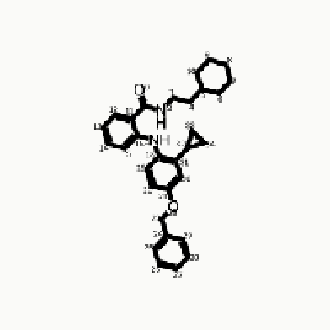 O=C(NCCC1CCCCC1)c1ccccc1Nc1ccc(OCc2ccccc2)cc1C1CC1